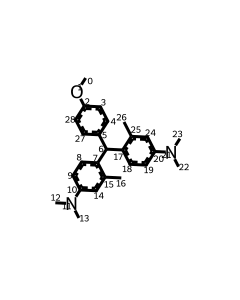 COc1ccc(C(c2ccc(N(C)C)cc2C)c2ccc(N(C)C)cc2C)cc1